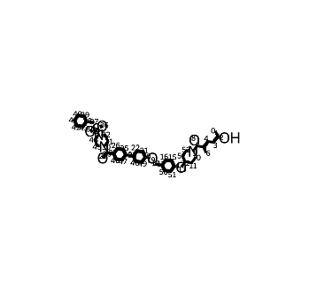 C/C(O)=C\C=C(/C)C(=O)N1CCC(Oc2ccc(COc3ccc(-c4ccc(C(=O)N5CCN(S(=O)(=O)Cc6ccccc6)CC5)cc4)cc3)cc2)CC1